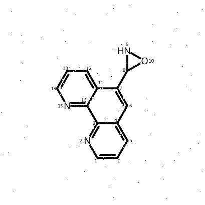 c1cnc2c(c1)cc(C1NO1)c1cccnc12